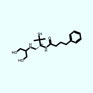 CC(C)(S)[C@@H](CNC(CO)CO)NC(=O)CCCc1ccccc1